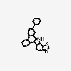 c1ccc(-c2ccc3c4ccccc4c4c5ccc6ncsc6c5[nH]c4c3c2)cc1